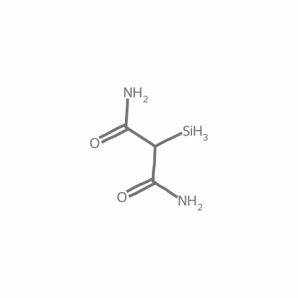 NC(=O)C([SiH3])C(N)=O